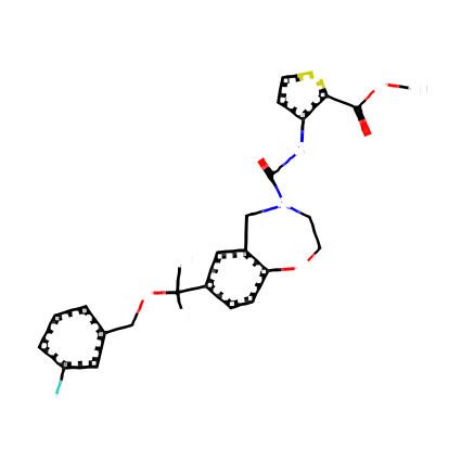 COC(=O)c1sccc1NC(=O)N1CCOc2ccc(C(C)(C)OCc3cccc(F)c3)cc2C1